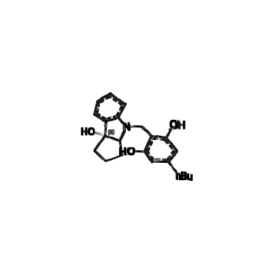 CCCCc1cc(O)c(CN2c3ccccc3[C@]3(O)CCCC23)c(O)c1